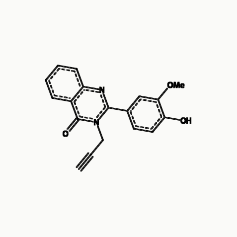 C#CCn1c(-c2ccc(O)c(OC)c2)nc2ccccc2c1=O